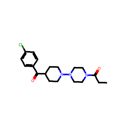 CCC(=O)N1CCN(N2CCC(C(=O)c3ccc(Cl)cc3)CC2)CC1